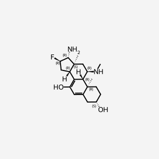 CN[C@@H]1C[C@@]2(C)[C@@H](C[C@@H](F)[C@@H]2N)C2=C(O)C=C3C[C@@H](O)CC[C@]3(C)[C@H]21